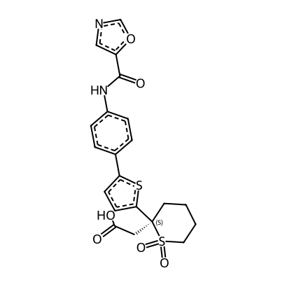 O=C(O)C[C@]1(c2ccc(-c3ccc(NC(=O)c4cnco4)cc3)s2)CCCCS1(=O)=O